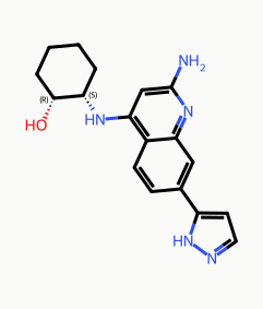 Nc1cc(N[C@H]2CCCC[C@H]2O)c2ccc(-c3ccn[nH]3)cc2n1